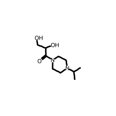 CC(C)N1CCN(C(=O)C(O)CO)CC1